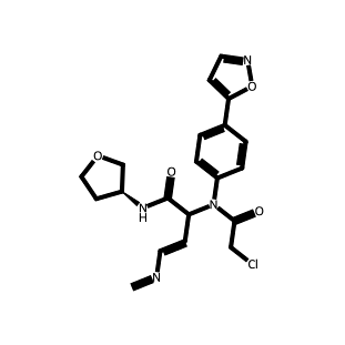 C=N/C=C/C(C(=O)N[C@H]1CCOC1)N(C(=O)CCl)c1ccc(-c2ccno2)cc1